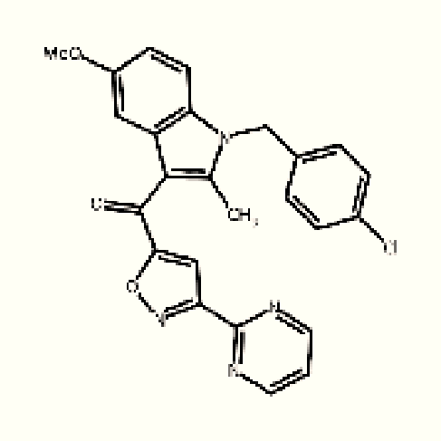 COc1ccc2c(c1)c(C(=O)c1cc(-c3ncccn3)no1)c(C)n2Cc1ccc(Cl)cc1